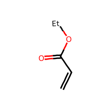 [CH2]COC(=O)C=C